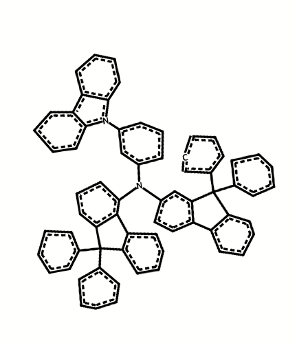 c1ccc(C2(c3ccccc3)c3ccccc3-c3ccc(N(c4cccc(-n5c6ccccc6c6ccccc65)c4)c4cccc5c4-c4ccccc4C5(c4ccccc4)c4ccccc4)cc32)cc1